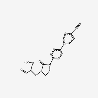 COC(C=O)CN1CCN(c2ccc(-c3ccc(C#N)cc3)nn2)C1=O